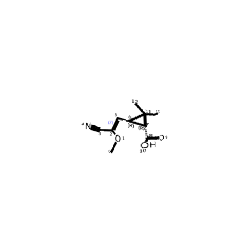 CO/C(C#N)=C\[C@@H]1[C@@H](C(=O)O)C1(C)C